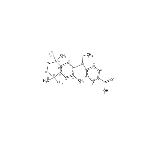 CCN(c1cnc(C(=O)O)cn1)c1cc2c(cc1C)C(C)(C)CCC2(C)C